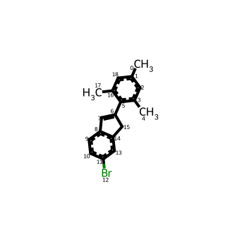 Cc1cc(C)c(C2=Cc3ccc(Br)cc3C2)c(C)c1